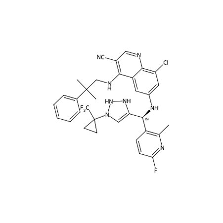 Cc1nc(F)ccc1[C@H](Nc1cc(Cl)c2ncc(C#N)c(NCC(C)(C)c3ccccc3)c2c1)C1=CN(C2(C(F)(F)F)CC2)NN1